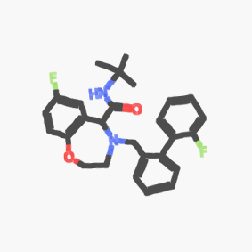 CC(C)(C)NC(=O)C1c2cc(F)ccc2OCCN1Cc1ccccc1-c1ccccc1F